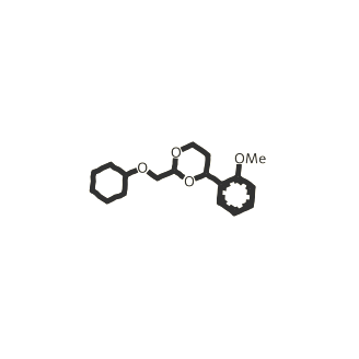 COc1ccccc1C1CCOC(COC2CCCCC2)O1